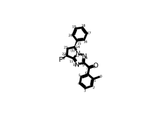 Cc1ccccc1C(=O)c1nc2n(n1)[C@H](c1ccccc1)C[C@@H]2F